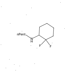 CCCCCNC1CCCCC1(F)F